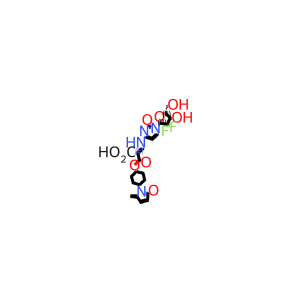 C=C1C=CC(=O)N1C1CCC(OC(=O)/C(=C/Nc2ccn([C@@H]3O[C@H](CO)C(O)C3(F)F)c(=O)n2)C(=O)O)CC1